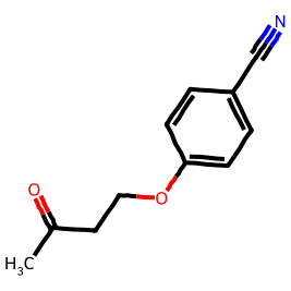 CC(=O)CCOc1ccc(C#N)cc1